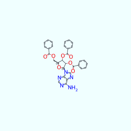 Nc1ncnc2c1ncn2[C@H]1O[C@@H](COC(=O)c2ccccc2)C(OC(=O)c2ccccc2)C1OC(=O)c1ccccc1